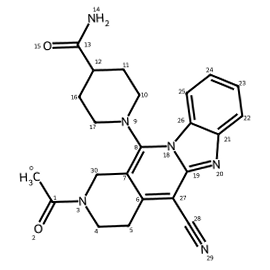 CC(=O)N1CCc2c(c(N3CCC(C(N)=O)CC3)n3c(nc4ccccc43)c2C#N)C1